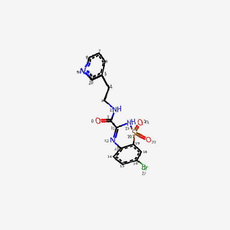 O=C(NCCc1cccnc1)C1=Nc2ccc(Br)cc2S(=O)(=O)N1